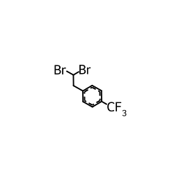 FC(F)(F)c1ccc(CC(Br)Br)cc1